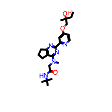 CCC(C)(O)COc1ccnc(-c2nc3c(c(N(C)CC(=O)NC(C)(C)C)n2)CCC3)c1